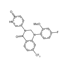 COc1cc(F)ccc1N1CN(c2ccc(=O)[nH]c2)C(=O)c2ccc(C(F)(F)F)cc21